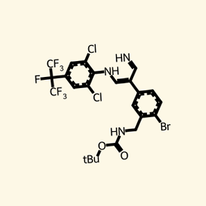 CC(C)(C)OC(=O)NCc1cc(/C(C=N)=C/Nc2c(Cl)cc(C(F)(C(F)(F)F)C(F)(F)F)cc2Cl)ccc1Br